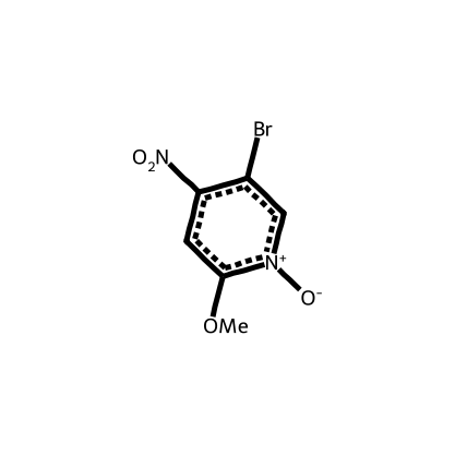 COc1cc([N+](=O)[O-])c(Br)c[n+]1[O-]